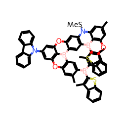 CSN1c2cc3c(cc2B2c4sc5ccccc5c4Oc4cc(C)cc1c42)B1c2cc(B(c4sc5ccccc5c4C)c4c(C)cc(C)cc4C)c(C)cc2Oc2cc(-n4c5ccccc5c5ccccc54)cc(c21)O3